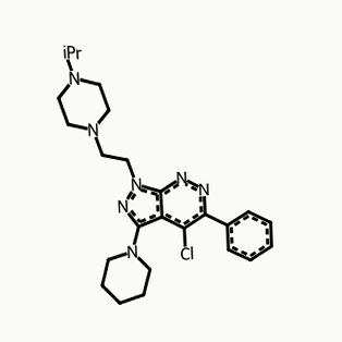 CC(C)N1CCN(CCn2nc(N3CCCCC3)c3c(Cl)c(-c4ccccc4)nnc32)CC1